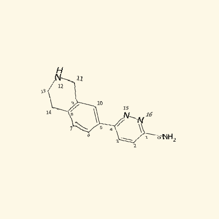 Nc1ccc(-c2ccc3c(c2)CNCC3)nn1